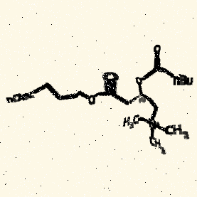 CCCCCCCCCCCCCOC(=O)C[C@@H](C[N+](C)(C)C)OC(=O)CCCC